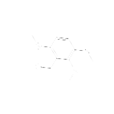 CSc1ccc(SC)c(SC)c1C[O]